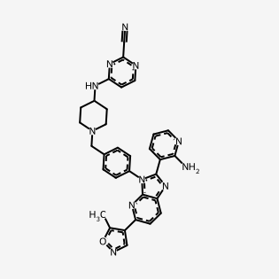 Cc1oncc1-c1ccc2nc(-c3cccnc3N)n(-c3ccc(CN4CCC(Nc5ccnc(C#N)n5)CC4)cc3)c2n1